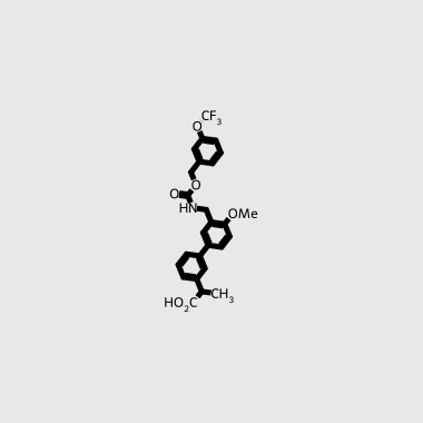 COc1ccc(-c2cccc(C(C)C(=O)O)c2)cc1CNC(=O)OCc1cccc(OC(F)(F)F)c1